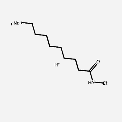 CCCCCCCCCCCCCCCCCC(=O)NCC.[H+]